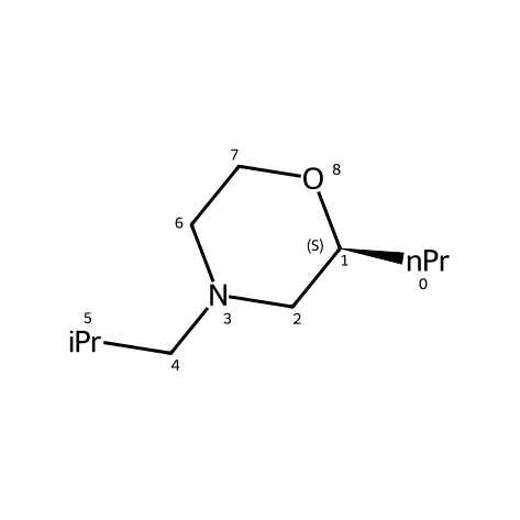 CCC[C@H]1CN(CC(C)C)CCO1